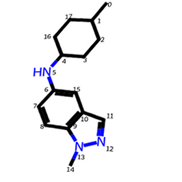 CC1CCC(Nc2ccc3c(cnn3C)c2)CC1